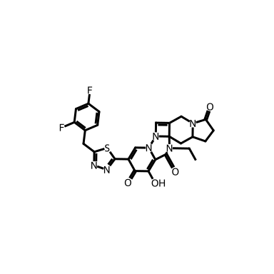 CCN1C(=O)c2c(O)c(=O)c(-c3nnc(Cc4ccc(F)cc4F)s3)cn2N2C=C3CN4C(=O)CCC4CC312